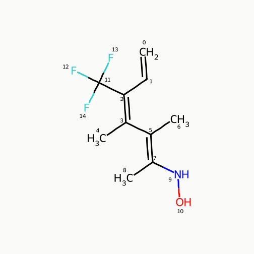 C=C/C(=C(C)\C(C)=C(/C)NO)C(F)(F)F